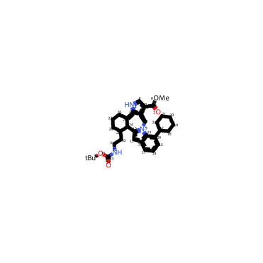 COC(=O)c1c[nH]c2c1=Cn1c(cc3cccc(C4CCCCC4)c31)C1C=2CCCC1CCNC(=O)OC(C)(C)C